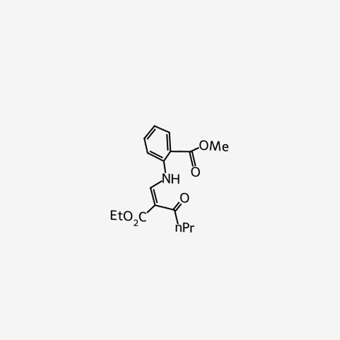 CCCC(=O)C(=CNc1ccccc1C(=O)OC)C(=O)OCC